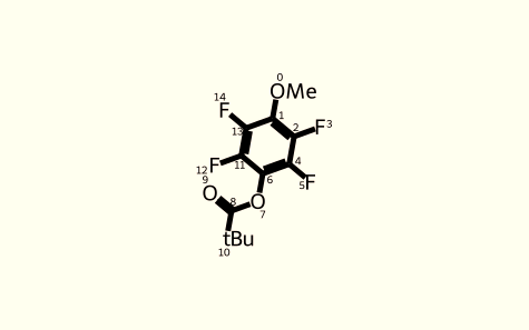 COc1c(F)c(F)c(OC(=O)C(C)(C)C)c(F)c1F